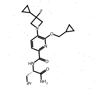 CC(C)C[C@H](NC(=O)c1ccc(N2CC(F)(C3CC3)C2)c(OCC2CC2)n1)C(N)=O